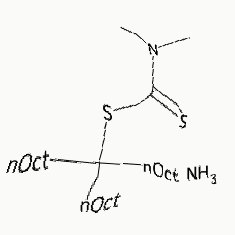 CCCCCCCCC(CCCCCCCC)(CCCCCCCC)SC(=S)N(C)C.N